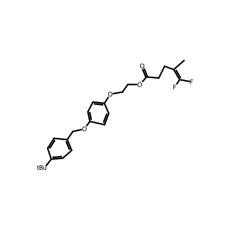 CC(CCC(=O)OCCOc1ccc(OCc2ccc(C(C)(C)C)cc2)cc1)=C(F)F